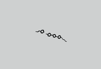 CCCCCc1ccc(-c2ccc(-c3ccc(C(=O)Oc4cc(F)c(/C=C/C(F)(F)F)c(F)c4)c(F)c3)cc2)cc1